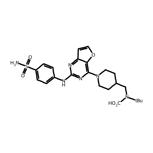 CC(C)(C)N(CC1CCN(c2nc(Nc3ccc(S(N)(=O)=O)cc3)nc3ccoc23)CC1)C(=O)O